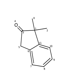 CC1(C)C(=O)Cc2ccccc21